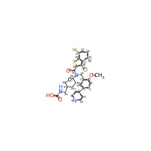 COc1ccc(-c2ccncc2)cc1CN(C(=O)c1sc2c(F)ccc(F)c2c1Cl)C1CCC(CNC(=O)O)CC1